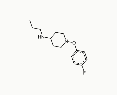 CCCNC1CCN(Oc2ccc(F)cc2)CC1